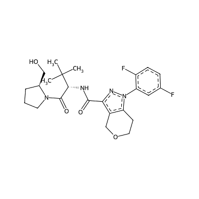 CC(C)(C)[C@H](NC(=O)c1nn(-c2cc(F)ccc2F)c2c1COCC2)C(=O)N1CCC[C@H]1CO